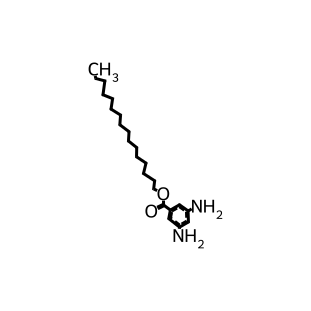 CCCCCCCCCCCCCCCCOC(=O)c1cc(N)cc(N)c1